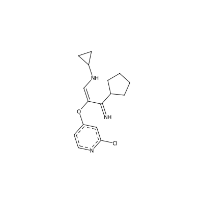 N=C(/C(=C\NC1CC1)Oc1ccnc(Cl)c1)C1CCCC1